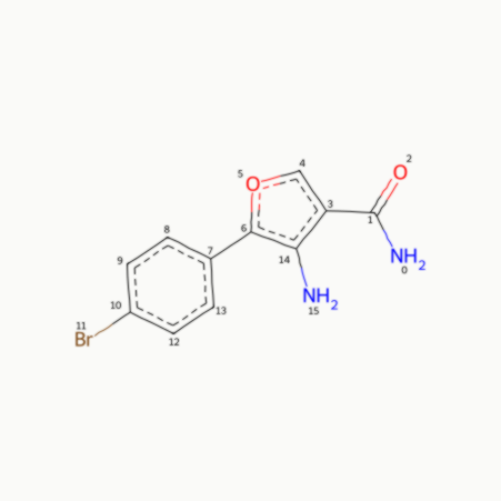 NC(=O)c1coc(-c2ccc(Br)cc2)c1N